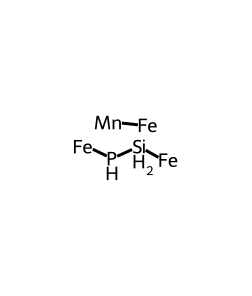 [Fe][SiH2][PH][Fe].[Mn][Fe]